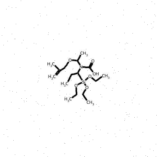 C=C(C)COC(C)N(C(=O)O)C(CC)[Si](OCC)(OCC)OCC